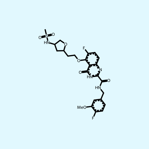 COc1cc(CNC(=O)c2nc3ccc(F)c(OCCC4CC(NS(C)(=O)=O)CO4)c3c(=O)[nH]2)ccc1F